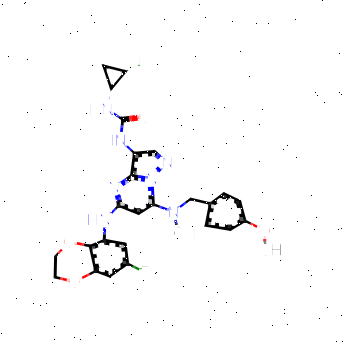 COc1ccc(CN(C)c2cc(Nc3cc(F)cc4c3OCCO4)nc3c(NC(=O)N[C@@H]4C[C@@H]4F)cnn23)cc1